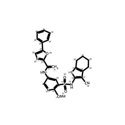 C=C(Nc1cnc(OC)c(S(=O)(=O)Nc2sc3c(c2C#N)CCCC3)c1)c1ncc(-c2ccccc2)o1